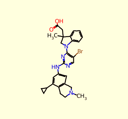 CN1CCc2c(cc(Nc3ncc(Br)c(N4CC(C)(CC(=O)O)c5ccccc54)n3)cc2C2CC2)C1